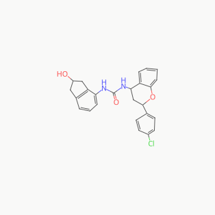 O=C(Nc1cccc2c1CC(O)C2)NC1CC(c2ccc(Cl)cc2)Oc2ccccc21